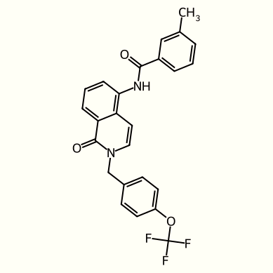 Cc1cccc(C(=O)Nc2cccc3c(=O)n(Cc4ccc(OC(F)(F)F)cc4)ccc23)c1